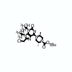 [2H]C([2H])([2H])n1c(CCl)nc2c(N3C[C@@H](C)N(C(=O)OC(C)(C)C)C[C@@H]3C)nc(=O)n(C([2H])([2H])[2H])c21